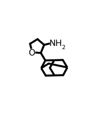 NC1CCOC1C1[C]2CC3CC(C2)CC1C3